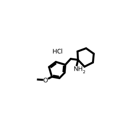 COc1ccc(CC2(N)CCCCC2)cc1.Cl